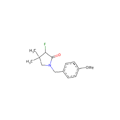 COc1ccc(CN2CC(C)(C)C(F)C2=O)cc1